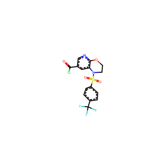 O=C(Cl)c1cnc2c(c1)N(S(=O)(=O)c1ccc(C(F)(F)F)cc1)CCO2